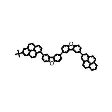 CC(C)(C)c1cc2ccc3ccc(-c4ccc5oc6ccc(-c7ccc8oc9ccc(-c%10cc%11ccc%12cccc%13ccc(c%10)c%11c%12%13)cc9c8c7)cc6c5c4)c4ccc(c1)c2c34